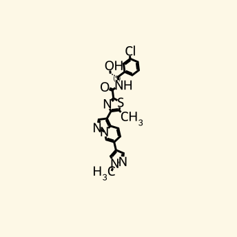 Cc1sc(C(=O)N[C@H](CO)c2cccc(Cl)c2)nc1-c1cnn2cc(-c3cnn(C)c3)ccc12